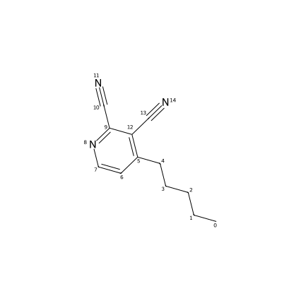 CCCCCc1ccnc(C#N)c1C#N